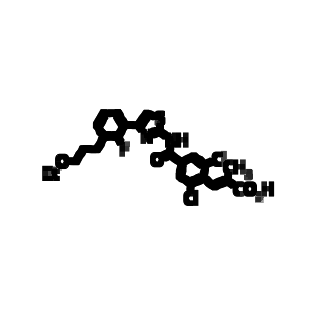 CCOCCCc1cccc(-c2csc(NC(=O)c3cc(Cl)c(C=C(C)C(=O)O)c(Cl)c3)n2)c1F